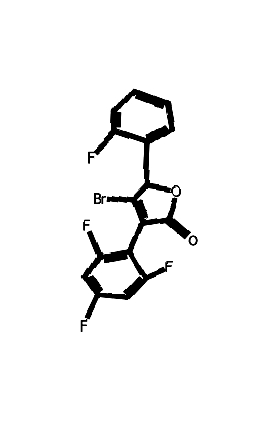 O=C1OC(c2ccccc2F)C(Br)=C1c1c(F)cc(F)cc1F